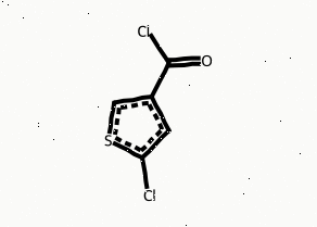 O=C(Cl)c1csc(Cl)c1